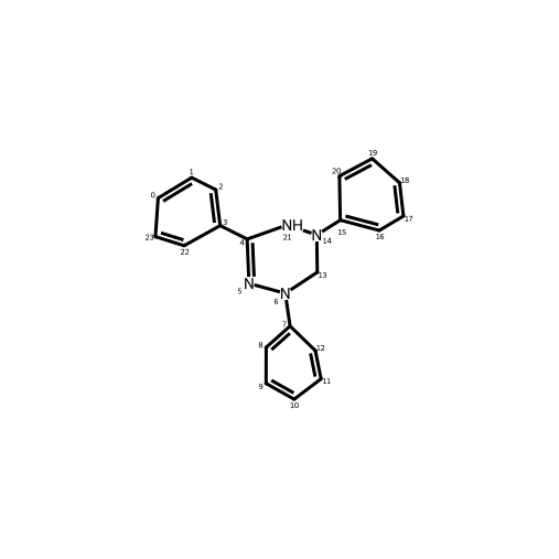 c1ccc(C2=NN(c3ccccc3)CN(c3ccccc3)N2)cc1